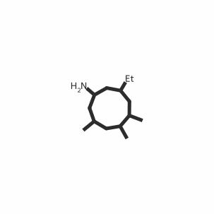 CCC1CC(N)CC(C)CC(C)C(C)C1